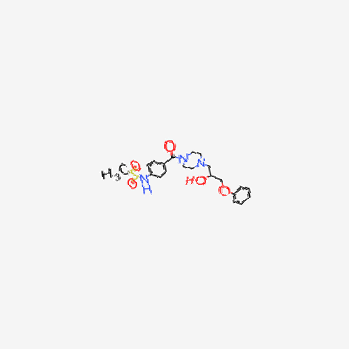 CS(=O)(=O)Nc1ccc(C(=O)N2CCN(CC(O)COc3ccccc3)CC2)cc1